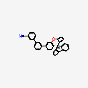 N#Cc1cccc(-c2cccc(C3=CC4=C(CC3)[C@@]3(C5=C(CCC=C5)c5ccccc53)c3ccccc3O4)c2)c1